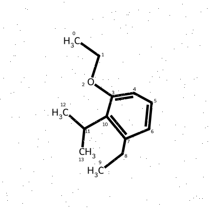 CCOc1cccc(CC)c1C(C)C